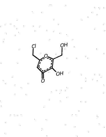 O=c1cc(CCl)oc(CO)c1O